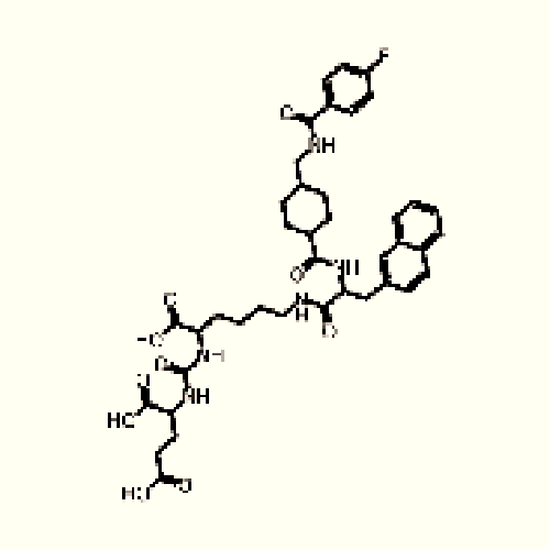 O=C(O)CCC(NC(=O)NC(CCCCNC(=O)C(Cc1ccc2ccccc2c1)NC(=O)C1CCC(CNC(=O)c2ccc(F)cc2)CC1)C(=O)O)C(=O)O